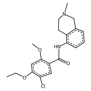 CCOc1cc(OC)c(C(=O)Nc2cccc3c2CCN(C)C3)cc1Cl